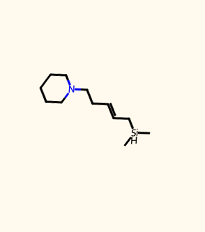 C[SiH](C)CC=CCCN1CCCCC1